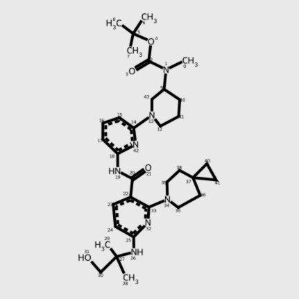 CN(C(=O)OC(C)(C)C)C1CCCN(c2cccc(NC(=O)c3ccc(NC(C)(C)CO)nc3N3CCC4(CC3)CC4)n2)C1